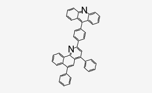 c1ccc(-c2cc3c(-c4ccccc4)cc(-c4ccc(-c5c6ccccc6nc6ccccc56)cc4)nc3c3ccccc23)cc1